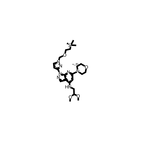 COC(CNc1cc(N2CCOC[C@H]2C)nc2c1cnn2-c1ccn(COCC[Si](C)(C)C)n1)OC